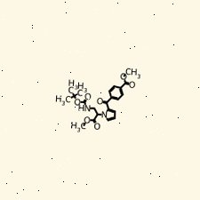 COC(=O)c1ccc(C(=O)c2cccn2C(CNC(=O)OC(C)(C)C)C(=O)OC)cc1